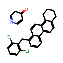 Clc1cccc(Cl)c1Cc1cccc2c1ccc1c3c(ccc12)CCCC3.O=C1C=CN=CC1